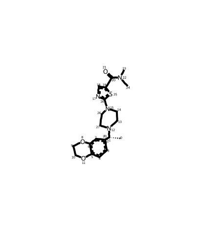 C[C@H](c1ccc2c(c1)OCCO2)N1CCN(c2ncc(C(=O)N(C)C)s2)CC1